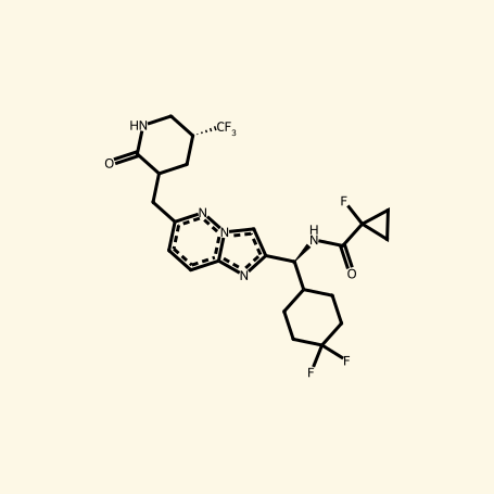 O=C1NC[C@H](C(F)(F)F)CC1Cc1ccc2nc([C@@H](NC(=O)C3(F)CC3)C3CCC(F)(F)CC3)cn2n1